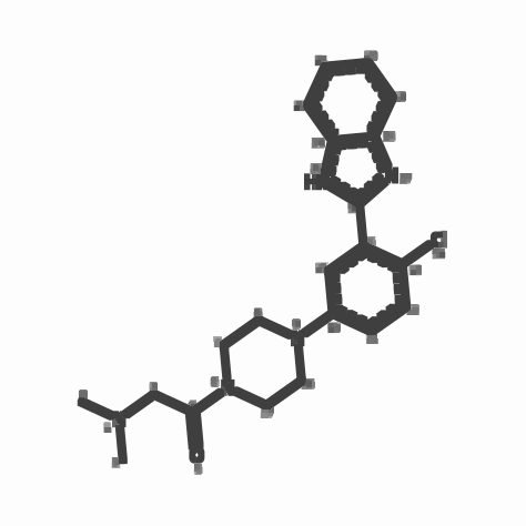 CN(C)CC(=O)N1CCN(c2ccc(Cl)c(-c3nc4ccccc4[nH]3)c2)CC1